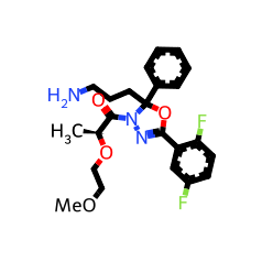 COCCO[C@@H](C)C(=O)N1N=C(c2cc(F)ccc2F)OC1(CCCN)c1ccccc1